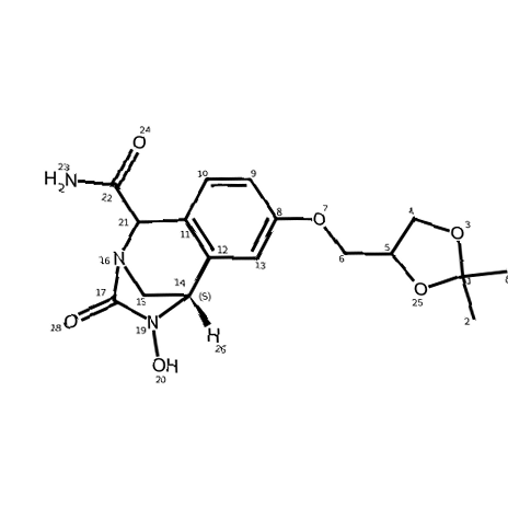 CC1(C)OCC(COc2ccc3c(c2)[C@H]2CN(C(=O)N2O)C3C(N)=O)O1